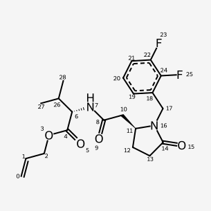 C=CCOC(=O)[C@@H](NC(=O)C[C@@H]1CCC(=O)N1Cc1cccc(F)c1F)C(C)C